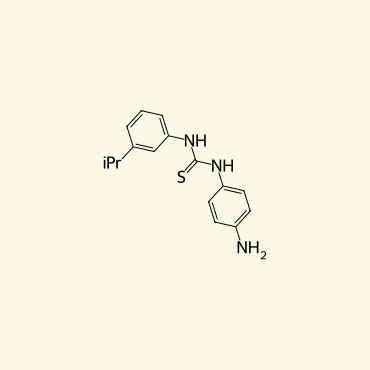 CC(C)c1cccc(NC(=S)Nc2ccc(N)cc2)c1